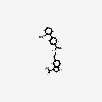 N=C(N)c1c[nH]c2ccc(CCNC(=O)c3ccc(-c4ccccc4C(=O)O)cc3)cc12